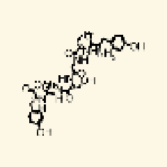 COC(=O)[C@H](Cc1ccc(O)cc1)NC(=O)CNC(=O)[C@H](CO)NC(=O)CNC(=O)[C@H](CC(C)C)NC(=O)[C@@H](N)Cc1ccc(O)cc1